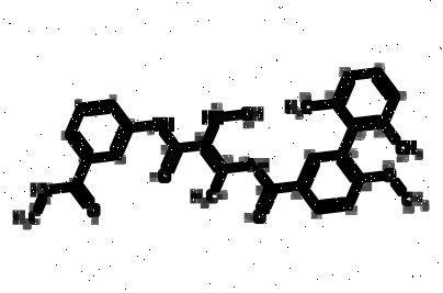 CNC(=O)c1cccc(NC(=O)/C(NO)=C(\C)NC(=O)c2ccc(OC)c(-c3c(C)cccc3C)c2)c1